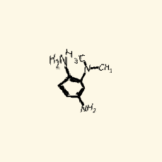 CN(C)c1cc(N)ccc1N